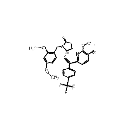 COc1ccc(CN2C(=O)CC[C@@H]2C=C(c2ccc(C(F)(F)F)cc2)c2ccc(Br)c(OC)n2)c(OC)c1